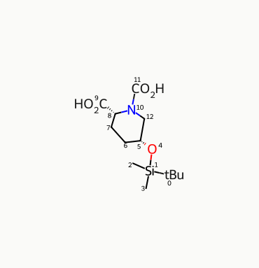 CC(C)(C)[Si](C)(C)O[C@@H]1CC[C@H](C(=O)O)N(C(=O)O)C1